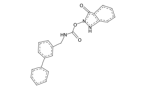 O=C(NCc1cccc(-c2ccccc2)c1)On1[nH]c2ccccc2c1=O